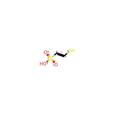 O=S(=O)(O)/C=C/S